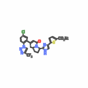 CCOC(=O)c1ccc(-c2c[nH]c(C3CCC4CC(c5cc(Cl)ccc5-n5cc(C(F)(F)F)nn5)=CC(=O)N43)n2)s1